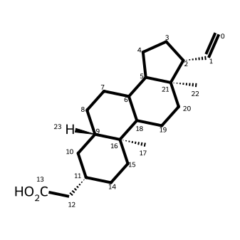 C=C[C@H]1CCC2C3CC[C@H]4C[C@@H](CC(=O)O)CC[C@]4(C)C3CC[C@@]21C